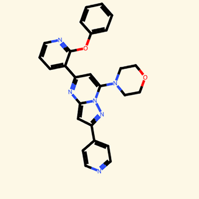 c1ccc(Oc2ncccc2-c2cc(N3CCOCC3)n3nc(-c4ccncc4)cc3n2)cc1